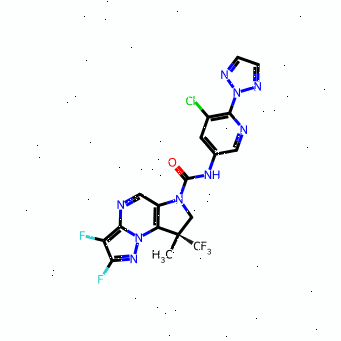 C[C@@]1(C(F)(F)F)CN(C(=O)Nc2cnc(-n3nccn3)c(Cl)c2)c2cnc3c(F)c(F)nn3c21